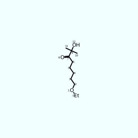 CCOCCCCCC(=O)C(C)(C)O